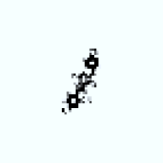 C[C@H]1CN(Cc2ccc(C#N)cc2)C(=O)c2cc(-c3ccc(Cl)cc3C#N)nn21